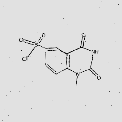 Cn1c(=O)[nH]c(=O)c2cc(S(=O)(=O)Cl)ccc21